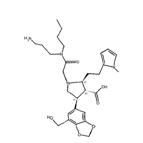 CCCCN(CCCN)C(=O)CN1C[C@H](c2cc(CO)c3c(c2)OCO3)[C@@H](C(=O)O)[C@@H]1CCc1cccn1C